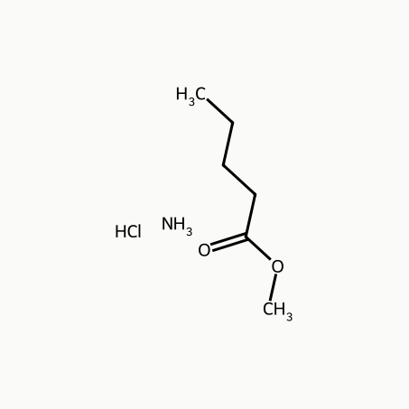 CCCCC(=O)OC.Cl.N